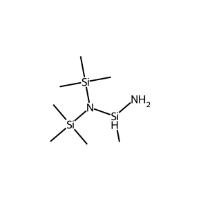 C[SiH](N)N([Si](C)(C)C)[Si](C)(C)C